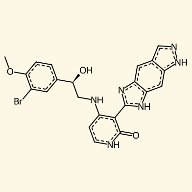 COc1ccc([C@@H](O)CNc2cc[nH]c(=O)c2-c2nc3cc4cn[nH]c4cc3[nH]2)cc1Br